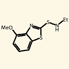 CCNSc1nc2c(OC)cccc2s1